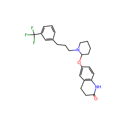 O=C1CCc2cc(OC3CCCCN3CCCc3cccc(C(F)(F)F)c3)ccc2N1